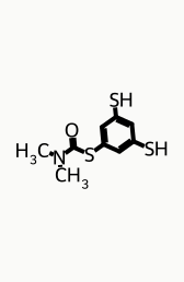 CN(C)C(=O)Sc1cc(S)cc(S)c1